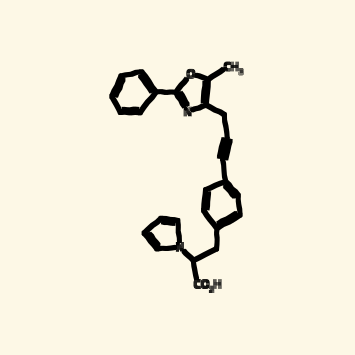 Cc1oc(-c2ccccc2)nc1CC#Cc1ccc(CC(C(=O)O)n2cccc2)cc1